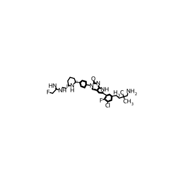 CC(C)(CN)CCc1cc(Cl)c(F)c(-c2cc3cn(-c4ccc([C@@H]5CCC[C@@H](CCNC(=N)CF)N5)cc4)c(=O)nc3[nH]2)c1